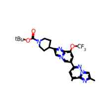 Cc1cn2nc(-c3cc(OC(F)(F)F)c4nc(C5CCN(C(=O)OC(C)(C)C)CC5)cn4c3)cc(C)c2n1